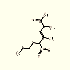 CCCCC(C(C)=CC(N)C(=O)O)P(=O)=O